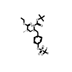 CCOC(=O)[C@@H](C)C[C@H](Cc1ccc(OS(=O)(=O)C(F)(F)F)cc1)NC(=O)OC(C)(C)C